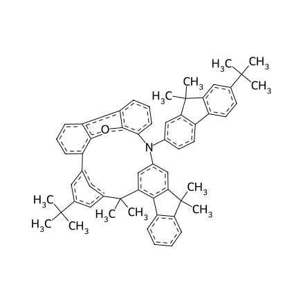 CC(C)(C)c1cc2cc(c1)C(C)(C)c1cc(cc3c1-c1ccccc1C3(C)C)N(c1ccc3c(c1)C(C)(C)c1cc(C(C)(C)C)ccc1-3)c1cccc3c1oc1c-2cccc13